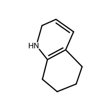 C1=CC2=C(CCCC2)NC1